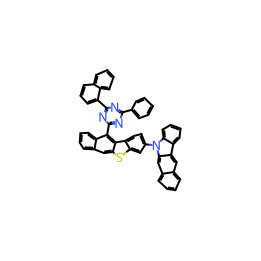 c1ccc(-c2nc(-c3cccc4ccccc34)nc(-c3c4ccccc4cc4sc5cc(-n6c7ccccc7c7cc8ccccc8cc76)ccc5c34)n2)cc1